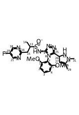 COc1cccc(OC)c1-n1c(N[S+]([O-])C(C)Cc2ncc(F)cn2)nnc1C1C=C(C)N(C)N1